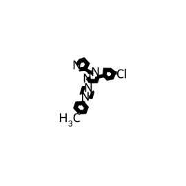 Cc1ccc(N2CCN(c3cc(-c4ccc(Cl)cc4)nc(-c4cccnc4)n3)CC2)cc1